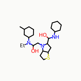 CCN(C(O)CN1C(C(O)NC2CCCCC2)CC2SCCC21)C1CCCC(C)C1